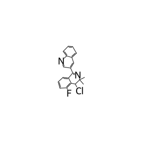 CC1(C)N=C(c2cnc3ccccc3c2)c2cccc(F)c2C1Cl